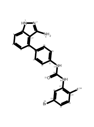 Nc1n[nH]c2cccc(-c3ccc(NC(=O)Nc4cc(Br)ccc4F)cc3)c12